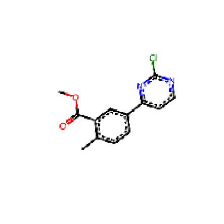 COC(=O)c1cc(-c2ccnc(Cl)n2)ccc1C